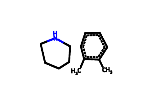 C1CCNCC1.Cc1ccccc1C